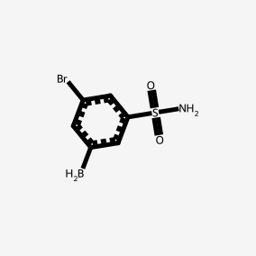 Bc1cc(Br)cc(S(N)(=O)=O)c1